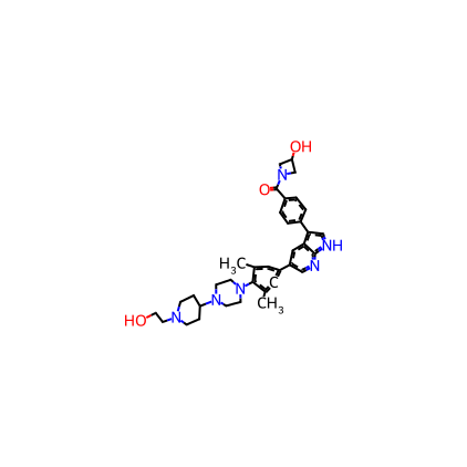 Cc1cc(-c2cnc3[nH]cc(-c4ccc(C(=O)N5CC(O)C5)cc4)c3c2)cc(C)c1N1CCN(C2CCN(CCO)CC2)CC1